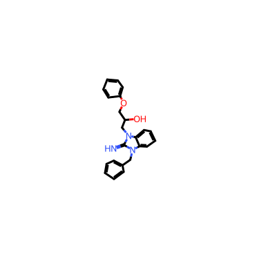 N=c1n(Cc2ccccc2)c2ccccc2n1CC(O)COc1ccccc1